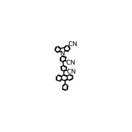 N#Cc1ccc2c(c1)c1ccccc1n2-c1ccc(-c2ccc(-c3c4ccccc4c(-c4ccccc4)c4ccccc34)c(C#N)c2)c(C#N)c1